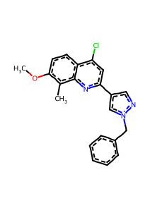 COc1ccc2c(Cl)cc(-c3cnn(Cc4ccccc4)c3)nc2c1C